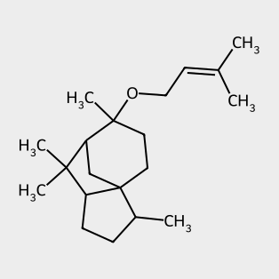 CC(C)=CCOC1(C)CCC23CC1C(C)(C)C2CCC3C